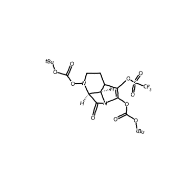 CC(C)(C)OC(=O)OC1=C(OS(=O)(=O)C(F)(F)F)C2CCN(OC(=O)OC(C)(C)C)[C@@H]3C(=O)N1[C@H]23